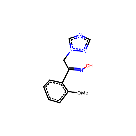 COc1ccccc1C(Cn1cncn1)=NO